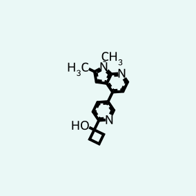 Cc1cc2c(-c3ccc(C4(O)CCC4)nc3)ccnc2n1C